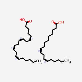 CCCCC/C=C\C/C=C\C/C=C\C/C=C\CCCC(=O)O.CCCCC/C=C\C/C=C\CCCCCCCC(=O)O